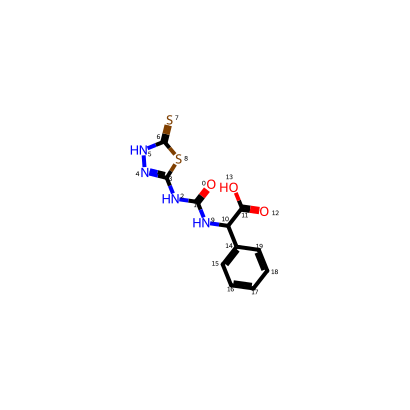 O=C(Nc1n[nH]c(=S)s1)NC(C(=O)O)c1ccccc1